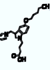 CCCCCOc1ccc2c(c1)C(Cn1ccnc1)CN2CCCC(=O)O